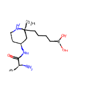 CC(C)[C@H](N)C(=O)N[C@H]1CCN[C@@](CCCCB(O)O)(C(=O)O)C1